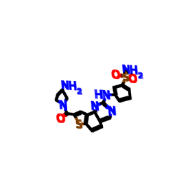 NC1CCN(C(=O)c2cc3c(ccc4cnc(Nc5cccc(S(N)(=O)=O)c5)nc43)s2)C1